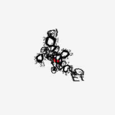 CCC(=O)N1CCC2(CC1)CN1C(=O)CN(S(=O)(=O)c3cc4cc(Cl)ccc4n3S(=O)(=O)c3ccccc3)CC1(CC13C=CC=CC1C(=O)NC3=O)O2